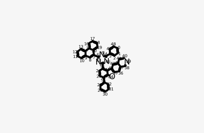 c1ccc(-c2nc(-c3cc4ccccc4c4ccccc34)nc(-c3ccc(-c4ccccc4)c4oc5cc6cnccc6cc5c34)n2)cc1